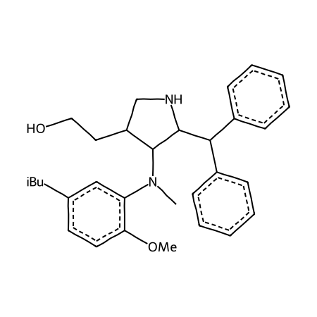 CCC(C)c1ccc(OC)c(N(C)C2C(CCO)CNC2C(c2ccccc2)c2ccccc2)c1